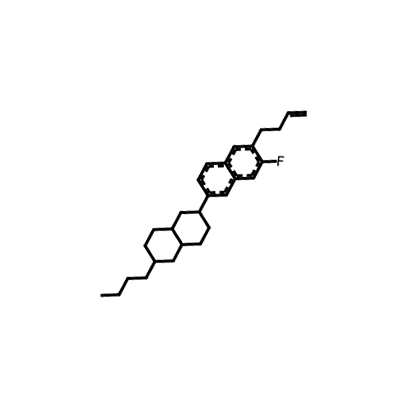 C=CCCc1cc2ccc(C3CCC4CC(CCCC)CCC4C3)cc2cc1F